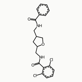 O=C(NCC1COC(CNC(=O)c2c(Cl)cccc2Cl)C1)c1ccccc1